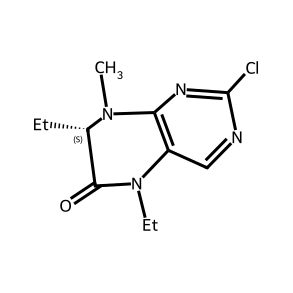 CC[C@H]1C(=O)N(CC)c2cnc(Cl)nc2N1C